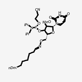 CCCCCCCCCCCCCCCC=NOC[C@H]1O[C@@H](n2ccc(=O)[nH]c2=O)C(OC)C1OP(OCCC#N)N(C(C)C)C(C)C